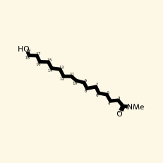 CNC(=O)CCCCCCCCCCCCCCCCO